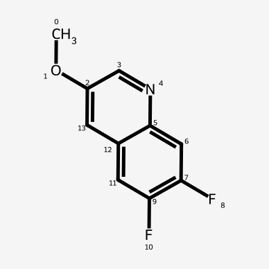 COc1cnc2cc(F)c(F)cc2c1